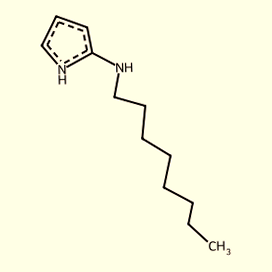 CCCCCCCCNc1ccc[nH]1